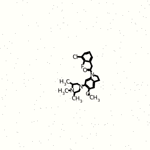 COc1cc2c(cc1N1CC(C)N(C)C(C)C1)N(C(=O)Cc1cccc(Cl)c1F)CC2